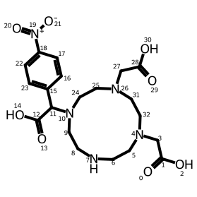 O=C(O)CN1CCNCCN(C(C(=O)O)c2ccc([N+](=O)[O-])cc2)CCN(CC(=O)O)CC1